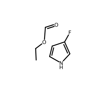 CCOC=O.Fc1cc[nH]c1